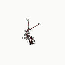 CCCCCCCCCCCCCCCCCC(=O)OCC(COP(=O)(O)OCCNC(=O)CNc1nc(Nc2ccc(/C=C/c3ccc(Nc4nc(Nc5ccccc5)nc(N(O)O)n4)cc3S(=O)(=O)O)c(S(=O)(=O)O)c2)nc(N(CCO)CCO)n1)OC(=O)CCCCCCCCCCCCCCCCC